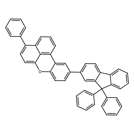 c1ccc(-c2ccc3c4c(cccc24)-c2cc(-c4ccc5c(c4)C(c4ccccc4)(c4ccccc4)c4ccccc4-5)ccc2O3)cc1